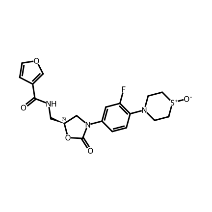 O=C(NC[C@H]1CN(c2ccc(N3CC[S+]([O-])CC3)c(F)c2)C(=O)O1)c1ccoc1